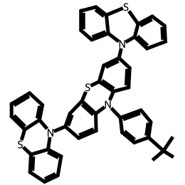 CC(C)(C)c1ccc(N2c3ccc(N4c5ccccc5Sc5ccccc54)cc3Sc3cc(N4c5ccccc5Sc5ccccc54)ccc32)cc1